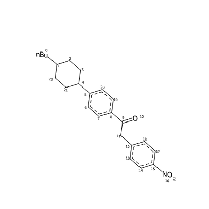 CCCCC1CCC(c2ccc(C(=O)Cc3ccc([N+](=O)[O-])cc3)cc2)CC1